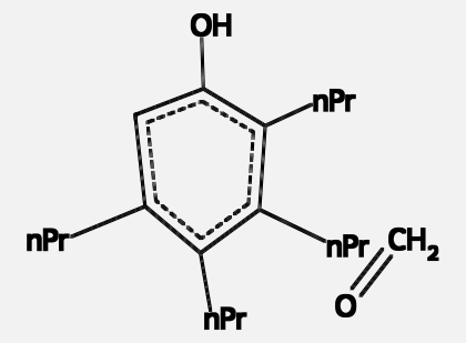 C=O.CCCc1cc(O)c(CCC)c(CCC)c1CCC